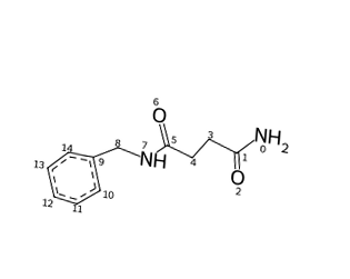 NC(=O)CCC(=O)NCc1ccccc1